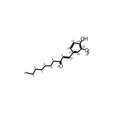 CCCCCCCC(=O)C=Cc1ccc(O)c(OC)c1